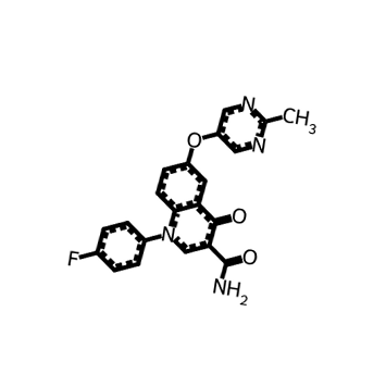 Cc1ncc(Oc2ccc3c(c2)c(=O)c(C(N)=O)cn3-c2ccc(F)cc2)cn1